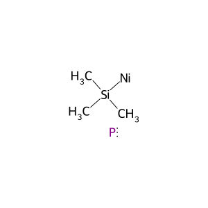 C[Si](C)(C)[Ni].[P]